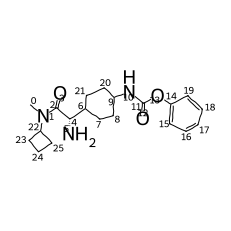 CN(C(=O)[C@@H](N)C1CCC(NC(=O)Oc2ccccc2)CC1)C1CCC1